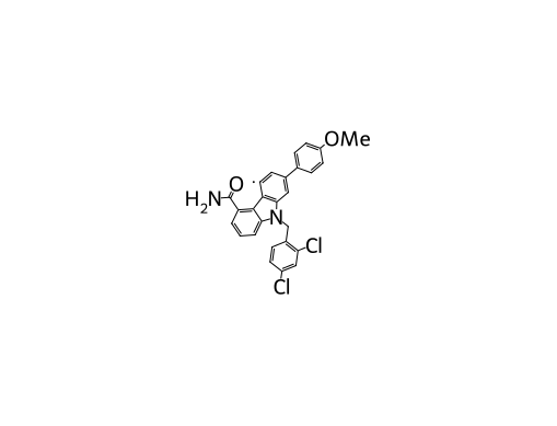 COc1ccc(-c2c[c]c3c4c(C(N)=O)cccc4n(Cc4ccc(Cl)cc4Cl)c3c2)cc1